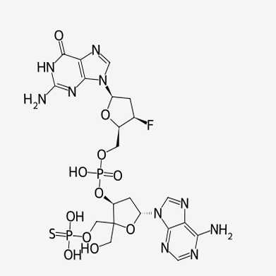 Nc1nc2c(ncn2[C@H]2C[C@@H](F)[C@@H](COP(=O)(O)O[C@H]3C[C@H](n4cnc5c(N)ncnc54)OC3(CO)COP(O)(O)=S)O2)c(=O)[nH]1